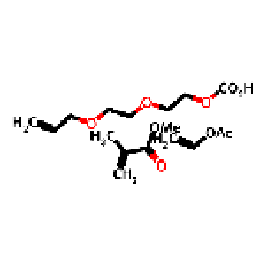 C=C(C)C(=O)OC.C=CCOCCOCCOC(=O)O.C=COC(C)=O